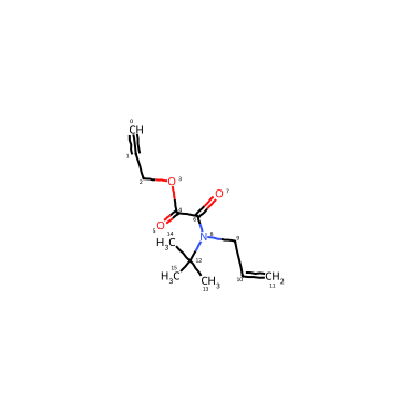 C#CCOC(=O)C(=O)N(CC=C)C(C)(C)C